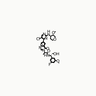 COc1cc(F)cc([C@@H](CO)NC(=O)C(C)n2cnn3cc(-c4nc(N[C@@H]5CCOC[C@H]5OC)ncc4Cl)cc3c2=O)c1